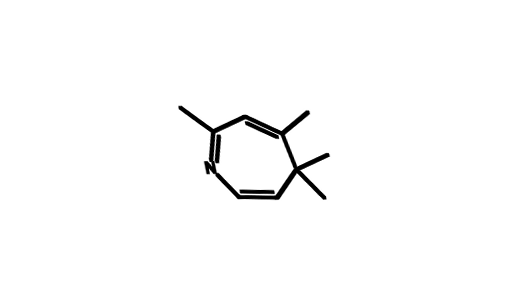 CC1=CC(C)=NC=CC1(C)C